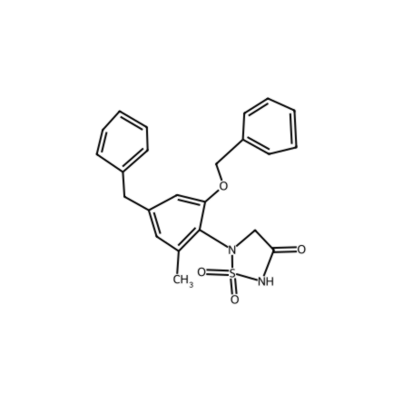 Cc1cc(Cc2ccccc2)cc(OCc2ccccc2)c1N1CC(=O)NS1(=O)=O